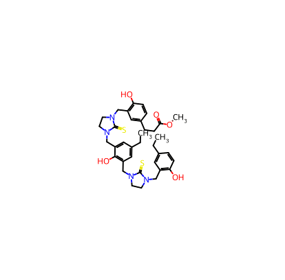 CCc1ccc(O)c(CN2CCN(Cc3cc(CC)cc(CN4CCN(Cc5cc(CCC(=O)OC)ccc5O)C4=S)c3O)C2=S)c1